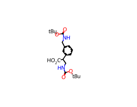 CC(C)(C)OC(=O)NCc1cccc(C(CNC(=O)OC(C)(C)C)C(=O)O)c1